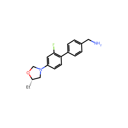 CC[C@H]1CN(c2ccc(-c3ccc(CN)cc3)c(F)c2)CO1